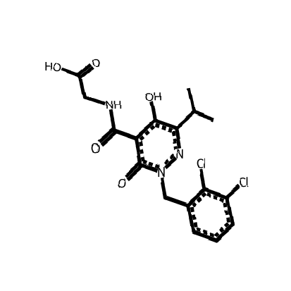 CC(C)c1nn(Cc2cccc(Cl)c2Cl)c(=O)c(C(=O)NCC(=O)O)c1O